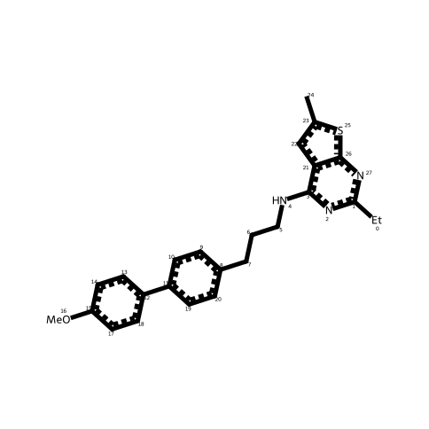 CCc1nc(NCCCc2ccc(-c3ccc(OC)cc3)cc2)c2cc(C)sc2n1